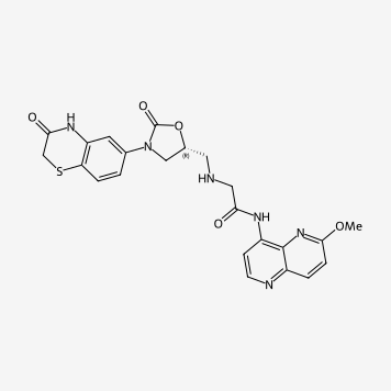 COc1ccc2nccc(NC(=O)CNC[C@@H]3CN(c4ccc5c(c4)NC(=O)CS5)C(=O)O3)c2n1